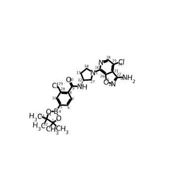 CC1(C)OB(c2ccc(C(=O)N[C@@H]3CCN(c4ncc(Cl)c5c(N)noc45)C3)c(Cl)c2)OC1(C)C